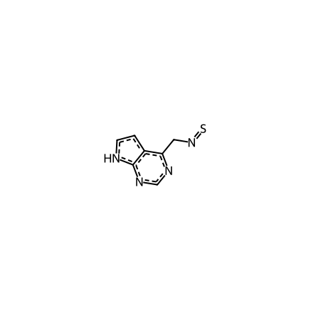 S=NCc1ncnc2[nH]ccc12